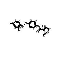 Cc1ccc(N=Nc2ccc(NC(=O)c3ccnn3C)cc2)c(C)c1